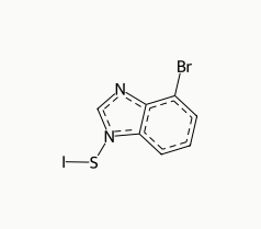 Brc1cccc2c1ncn2SI